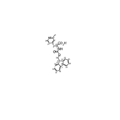 Cc1cc(C[C@H](NC(=O)OCC2c3ccccc3-c3ccccc32)C(=O)O)ccn1